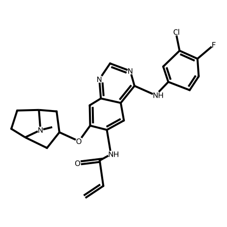 C=CC(=O)Nc1cc2c(Nc3ccc(F)c(Cl)c3)ncnc2cc1OC1CC2CCC(C1)N2C